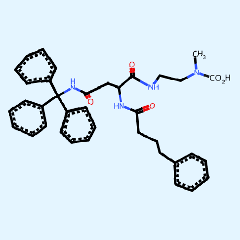 CN(CCNC(=O)C(CC(=O)NC(c1ccccc1)(c1ccccc1)c1ccccc1)NC(=O)CCCc1ccccc1)C(=O)O